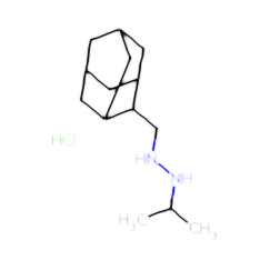 CC(C)NNCC1C2CC3CC(C2)CC1C3.Cl